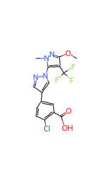 COc1nn(C)c(-n2cc(-c3ccc(Cl)c(C(=O)O)c3)cn2)c1C(F)(F)F